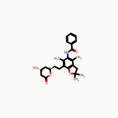 Cc1c(CC[C@@H]2C[C@@H](O)CC(=O)O2)c2c(c(C)c1NC(=O)c1ccccc1)CC(C)(C)O2